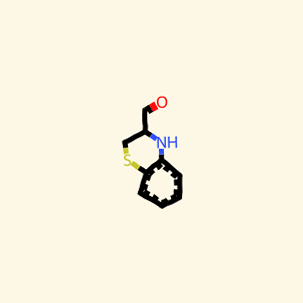 O=CC1CSc2ccccc2N1